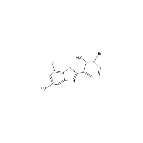 Cc1cc(Cl)c2oc(-c3cccc(Br)c3C)nc2c1